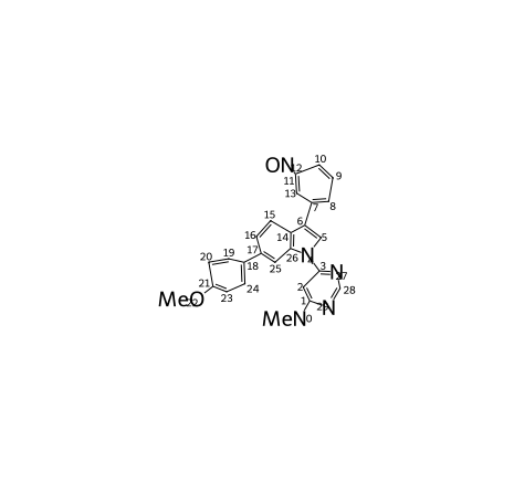 CNc1cc(-n2cc(-c3cccc(N=O)c3)c3ccc(-c4ccc(OC)cc4)cc32)ncn1